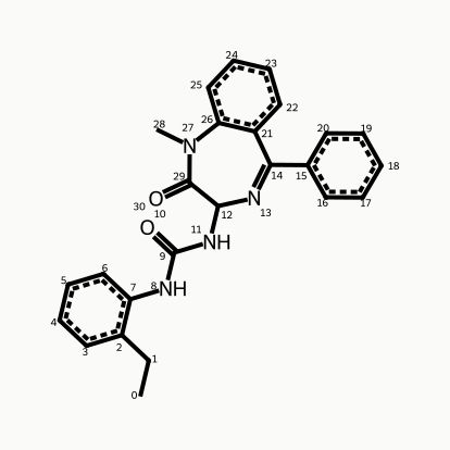 CCc1ccccc1NC(=O)NC1N=C(c2ccccc2)c2ccccc2N(C)C1=O